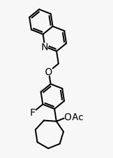 CC(=O)OC1(c2ccc(OCc3ccc4ccccc4n3)cc2F)CCCCCC1